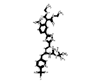 CCOC(=O)C(C(=O)OCC)c1cc(-c2nnc(CC[C@H](Cc3ccc(C(F)(F)F)nc3)NC(=O)OC(C)(C)C)s2)ccc1[N+](=O)[O-]